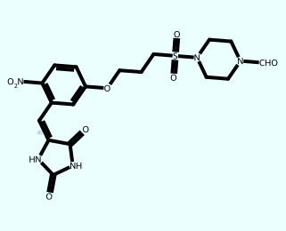 O=CN1CCN(S(=O)(=O)CCCOc2ccc([N+](=O)[O-])c(/C=C3/NC(=O)NC3=O)c2)CC1